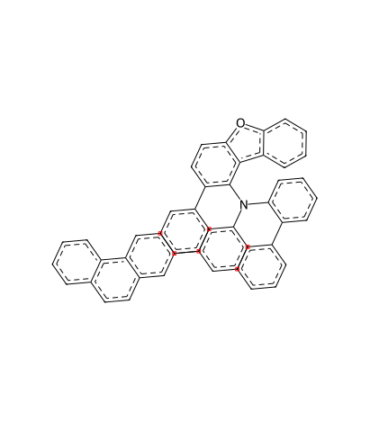 c1ccc(-c2ccccc2N(c2cccc(-c3ccc4c(ccc5ccccc54)c3)c2)c2c(-c3ccccc3)ccc3oc4ccccc4c23)cc1